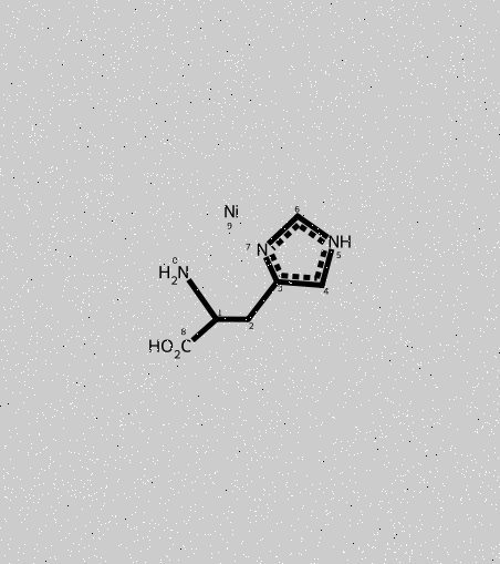 NC(Cc1c[nH]cn1)C(=O)O.[Ni]